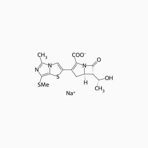 CSc1nc(C)n2cc(C3=C(C(=O)[O-])N4C(=O)[C@H]([C@@H](C)O)[C@H]4C3)sc12.[Na+]